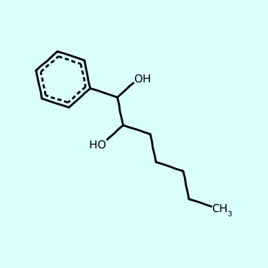 CCCCCC(O)C(O)c1ccccc1